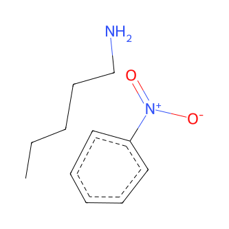 CCCCCN.O=[N+]([O-])c1ccccc1